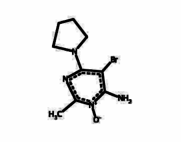 Cc1nc(N2CCCC2)c(Br)c(N)[n+]1[O-]